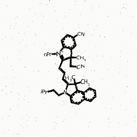 CCC[N+]1=C(/C=C/C=C2/N(CCC(C)C)c3ccc4ccccc4c3C2(C)C)C(C)(CC#N)c2cc(C#N)ccc21